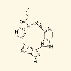 CCCC(=O)n1c2cncc(c2)c2ncc3[nH]nc(c4nc5c(ccnc5c5ccc1s5)[nH]4)c3c2F